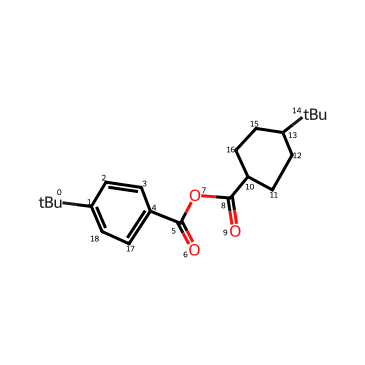 CC(C)(C)c1ccc(C(=O)OC(=O)C2CCC(C(C)(C)C)CC2)cc1